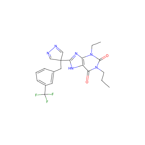 CCCn1c(=O)c2[nH]c(C3(Cc4cccc(C(F)(F)F)c4)C=NN=C3)nc2n(CC)c1=O